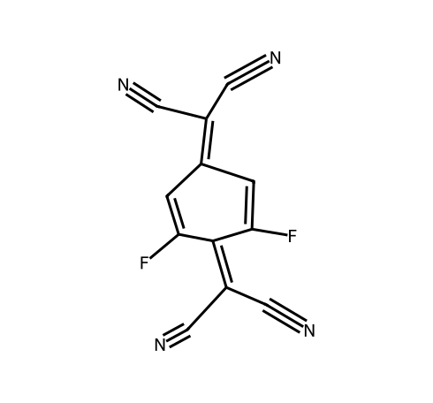 N#CC(C#N)=c1cc(F)c(=C(C#N)C#N)c(F)c1